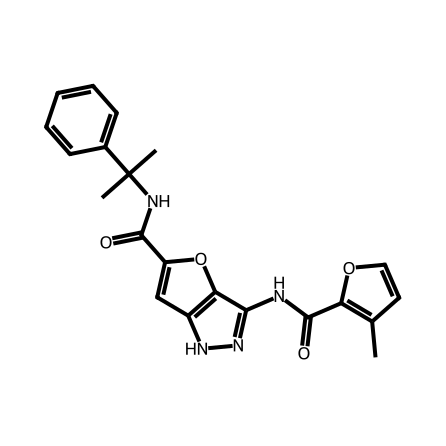 Cc1ccoc1C(=O)Nc1n[nH]c2cc(C(=O)NC(C)(C)c3ccccc3)oc12